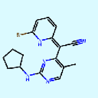 Cc1cnc(NC2CCCC2)nc1C(C#N)=C1C=CC=C(Br)N1